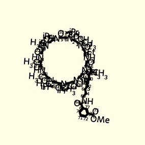 C=C1C(=O)N(C)[C@@H](CC(C)C)C(=O)N[C@H](C(C)C)C(=O)N(C)[C@H](CC(C)C)C(=O)N[C@H](C)C(=O)N[C@@H](C)C(=O)N(C)[C@@H](CC(C)C)C(=O)N(C)[C@H](CC(C)C)C(=O)N(C)[C@H](C(C)C)C(=O)N(C)[C@H](C[C@H](C)CCCCCCCNC(=O)c2cccc(C(=O)OC)c2)C(=O)N[C@@H](CC)C(=O)N1C